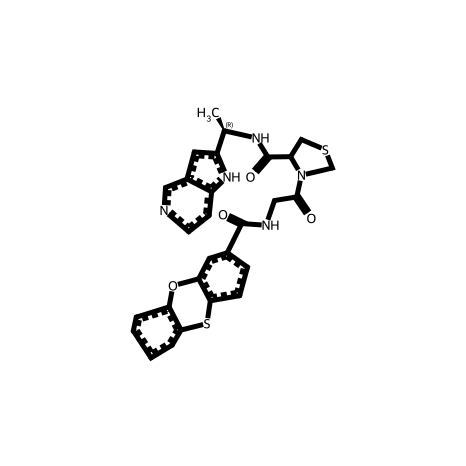 C[C@@H](NC(=O)C1CSCN1C(=O)CNC(=O)c1ccc2c(c1)Oc1ccccc1S2)c1cc2cnccc2[nH]1